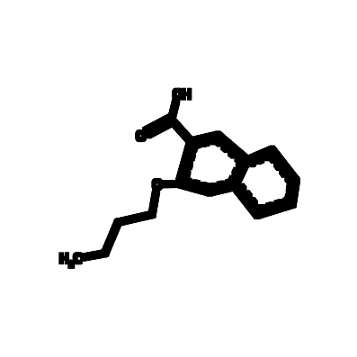 CCCCOc1cc2ccccc2cc1C(=O)O